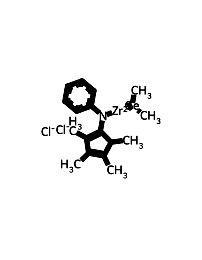 CC1=C(C)C(C)C([N]([Zr+2]=[Ge]([CH3])[CH3])c2ccccc2)=C1C.[Cl-].[Cl-]